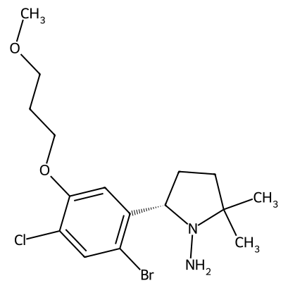 COCCCOc1cc([C@@H]2CCC(C)(C)N2N)c(Br)cc1Cl